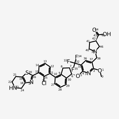 COc1nc(O[C@H]2CCc3c(-c4cccc(-c5nc6c(s5)CCNC6)c4Cl)cccc32)c(C(F)(F)F)cc1CN1CC[C@@H](C(=O)O)C1